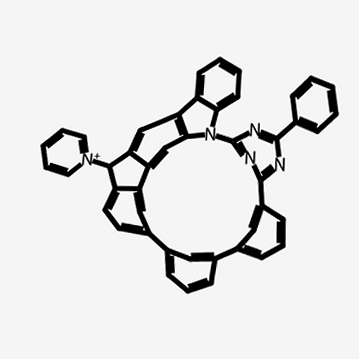 c1ccc(-c2nc3nc(n2)-n2c4ccccc4c4cc5c(cc42)-c2cc(ccc2C5[n+]2ccccc2)-c2cccc(c2)-c2cccc-3c2)cc1